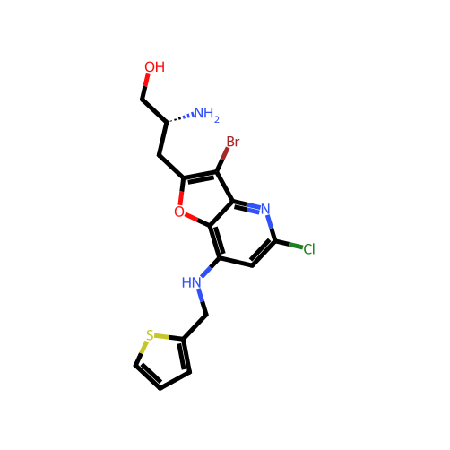 N[C@@H](CO)Cc1oc2c(NCc3cccs3)cc(Cl)nc2c1Br